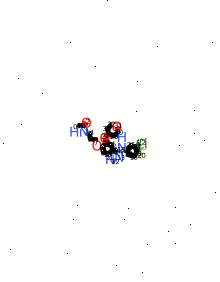 CC(=O)NCCCOc1cc2ncnc(Nc3ccc(F)c(Cl)c3)c2cc1OC1CCOCC1